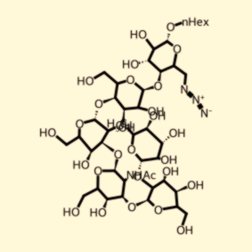 CCCCCCO[C@@H]1OC(CN=[N+]=[N-])[C@@H](O[C@@H]2OC(CO)[C@H](O[C@H]3OC(CO)[C@H](O)[C@H](O[C@@H]4OC(CO)[C@H](O)[C@H](O[C@@H]5OC(CO)[C@H](O)[C@H](O)C5O[C@@H]5OC(C)[C@@H](O)[C@H](O)C5O)C4NC(C)=O)C3O)[C@H](O)C2O)[C@H](O)C1O